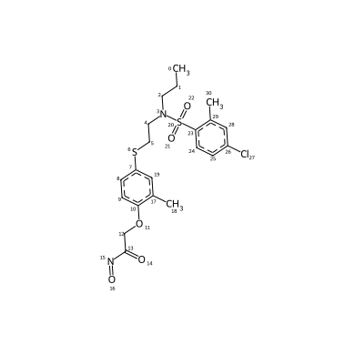 CCCN(CCSc1ccc(OCC(=O)N=O)c(C)c1)S(=O)(=O)c1ccc(Cl)cc1C